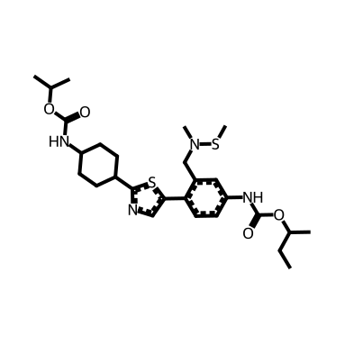 CCC(C)OC(=O)Nc1ccc(-c2cnc(C3CCC(NC(=O)OC(C)C)CC3)s2)c(CN(C)SC)c1